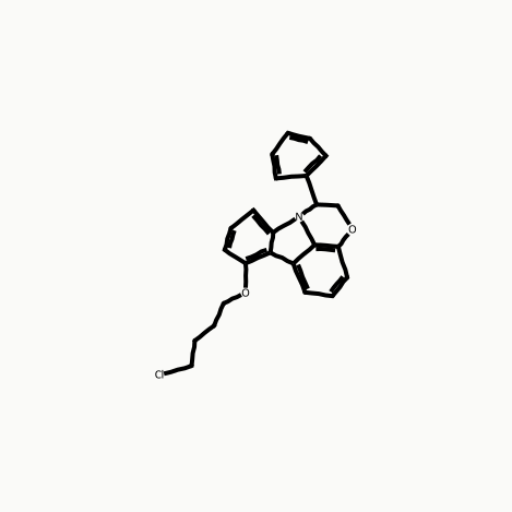 ClCCCCOc1cccc2c1c1cccc3c1n2C(c1ccccc1)CO3